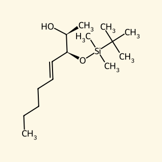 CCCCC=C[C@H](O[Si](C)(C)C(C)(C)C)[C@H](C)O